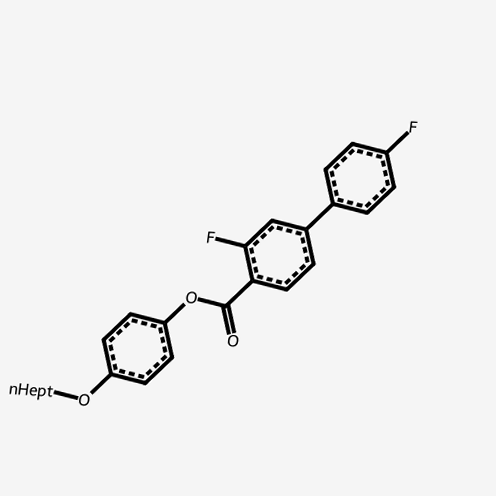 CCCCCCCOc1ccc(OC(=O)c2ccc(-c3ccc(F)cc3)cc2F)cc1